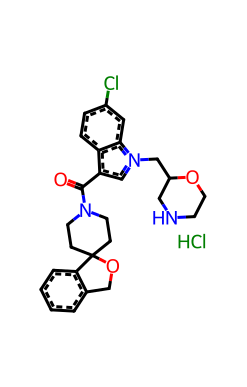 Cl.O=C(c1cn(CC2CNCCO2)c2cc(Cl)ccc12)N1CCC2(CC1)OCc1ccccc12